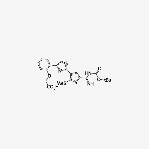 CSc1sc(C(=N)NC(=O)OC(C)(C)C)cc1-c1nc(-c2ccccc2OCC(=O)O)cs1